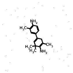 CC1=C(N)C(C)(C)C=C(c2ccc(N)c(C)c2)C1